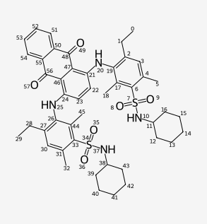 CCc1cc(C)c(S(=O)(=O)NC2CCCCC2)c(C)c1Nc1ccc(Nc2c(CC)cc(C)c(S(=O)(=O)NC3CCCCC3)c2C)c2c1C(=O)c1ccccc1C2=O